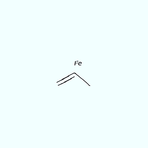 C=CC.[Fe]